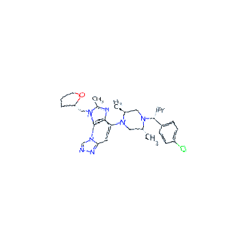 Cc1nc2c(N3C[C@@H](C)N([C@@H](c4ccc(Cl)cc4)C(C)C)C[C@@H]3C)cc3nncn3c2n1C[C@@H]1CCCO1